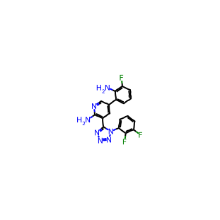 Nc1ncc(-c2cccc(F)c2N)cc1-c1nnnn1-c1cccc(F)c1F